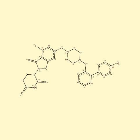 O=C1CCC(N2Cc3cc(CN4CCN(Cc5ccccc5-c5ccc(Cl)cc5)CC4)cc(F)c3C2=O)C(=O)N1